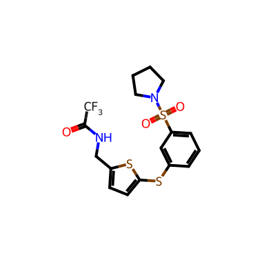 O=C(NCc1ccc(Sc2cccc(S(=O)(=O)N3CCCC3)c2)s1)C(F)(F)F